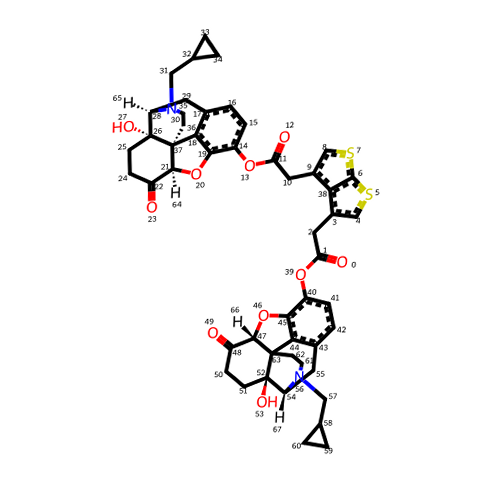 O=C(Cc1csc2scc(CC(=O)Oc3ccc4c5c3O[C@H]3C(=O)CC[C@@]6(O)[C@@H](C4)N(CC4CC4)CC[C@]536)c12)Oc1ccc2c3c1O[C@H]1C(=O)CC[C@@]4(O)[C@@H](C2)N(CC2CC2)CCC314